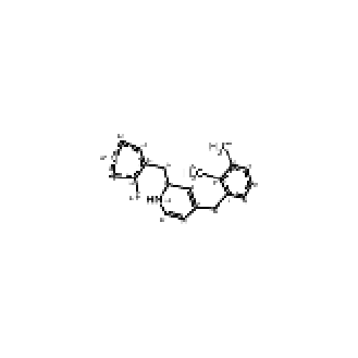 Cc1cccc(CC2=CC(Cc3ccncc3F)NC=C2)c1C